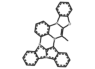 CC1=C2Oc3ccccc3N2c2cccc3c2B1c1c2ccccc2n2c4ccccc4n-3c12